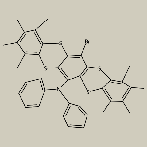 Cc1c(C)c(C)c2sc3c(N(c4ccccc4)c4ccccc4)c4sc5c(C)c(C)c(C)c(C)c5sc4c(Br)c3sc2c1C